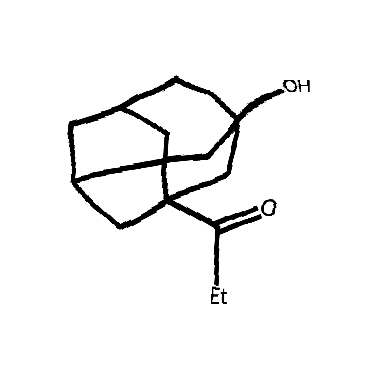 CCC(=O)C12CC3CC(CC(O)(C3)C1)C2